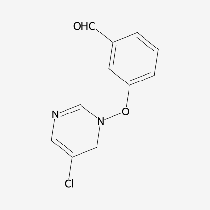 O=Cc1cccc(ON2C=NC=C(Cl)C2)c1